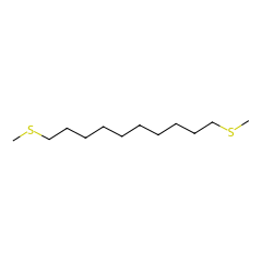 CSCCCCCCCCCCSC